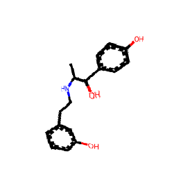 CC(NCCc1cccc(O)c1)C(O)c1ccc(O)cc1